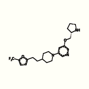 FC(F)(F)c1ccc(CCC2CCN(c3cncc(OC[C@@H]4CCCN4)c3)CC2)o1